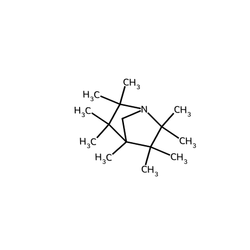 CC1(C)N2CC(C)(C1(C)C)C(C)(C)C2(C)C